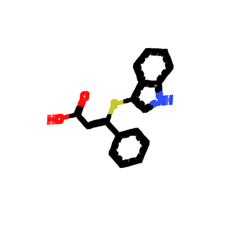 O=C(O)/C=C(\Sc1c[nH]c2ccccc12)c1ccccc1